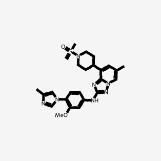 C=S(C)(=O)N1CCC(c2cc(C)cn3nc(Nc4ccc(-n5cnc(C)c5)c(OC)c4)nc23)CC1